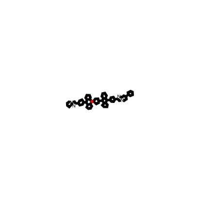 C1=CCC2C(=C1)C(c1ccc(-c3c4c(c(-c5ccc(-c6cn7ccc(-c8ccccc8)cc7n6)cc5)c5ccccc35)=CCCC=4)cc1)=c1ccccc1=C2c1ccc(-c2cn3ccccc3n2)cc1